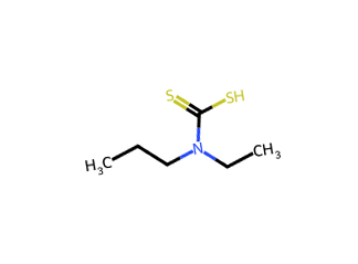 CCCN(CC)C(=S)S